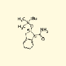 CC(C)(C)[Si](C)(C)O[C@@H]1Cc2ccccc2[C@@H]1C(N)=O